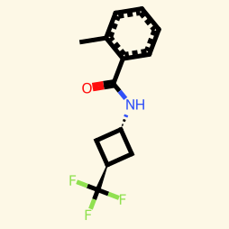 Cc1ccccc1C(=O)N[C@H]1C[C@H](C(F)(F)F)C1